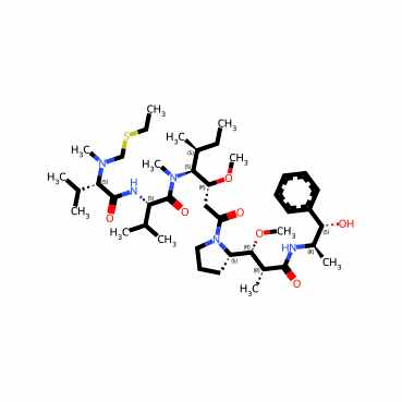 CCSCN(C)[C@H](C(=O)N[C@H](C(=O)N(C)[C@@H]([C@@H](C)CC)[C@@H](CC(=O)N1CCC[C@H]1[C@H](OC)[C@@H](C)C(=O)N[C@H](C)[C@@H](O)c1ccccc1)OC)C(C)C)C(C)C